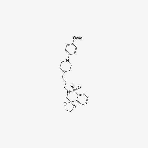 COc1ccc(N2CCN(CCCN3CC4(OCCO4)c4ccccc4S3(=O)=O)CC2)cc1